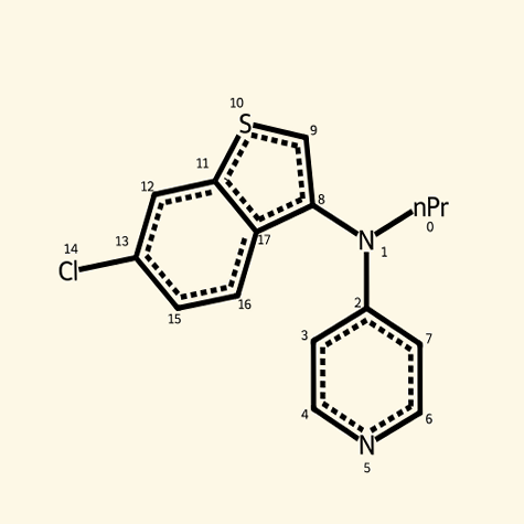 CCCN(c1ccncc1)c1csc2cc(Cl)ccc12